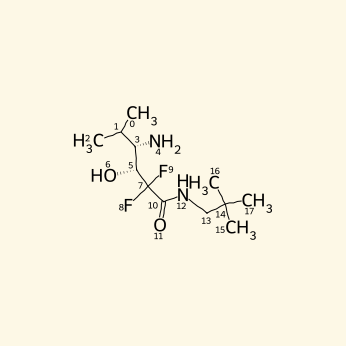 CC(C)[C@H](N)[C@@H](O)C(F)(F)C(=O)NCC(C)(C)C